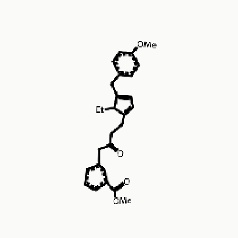 CCC1C(CCC(=O)Cc2cccc(C(=O)OC)c2)=CC=C1Cc1ccc(OC)cc1